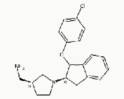 NC[C@@H]1CCN([C@@H]2Cc3ccccc3C2Oc2ccc(Cl)cc2)C1